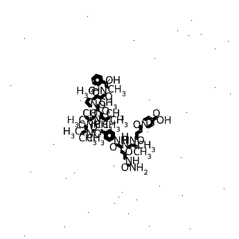 CC[C@H](C)[C@@H]([C@@H](CC(=O)N1CCC[C@H]1[C@H](OC)[C@@H](C)C(=O)N[C@H](C)[C@@H](O)c1ccccc1)OC)N(C)C(=O)[C@@H](NC(=O)C(C(C)C)N(C)C(=O)OCc1ccc(NC(=O)[C@H](CCCNC(N)=O)NC(=O)C(NC(=O)CCC(=O)N2CCC(C(=O)O)CC2)C(C)C)cc1)C(C)C